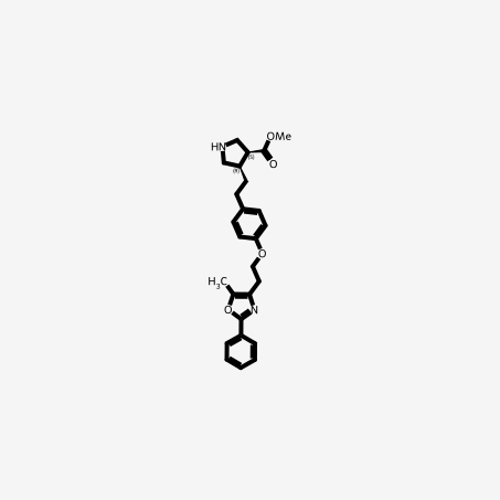 COC(=O)[C@@H]1CNC[C@@H]1CCc1ccc(OCCc2nc(-c3ccccc3)oc2C)cc1